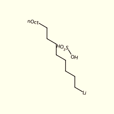 O=S(=O)(O)O.[Li][CH2]CCCCCCCCCCCCCCC